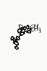 CC1(C)c2ccccc2-c2c(N(c3ccc(-c4ccc(-n5c6ccccc6c6cc(-c7ccccc7)ccc65)cc4)cc3)c3cccc4oc5ccccc5c34)cccc21